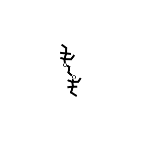 CCC(C)(C)C(C)(CC)OCCOC(C)(CC)C(C)(C)CC